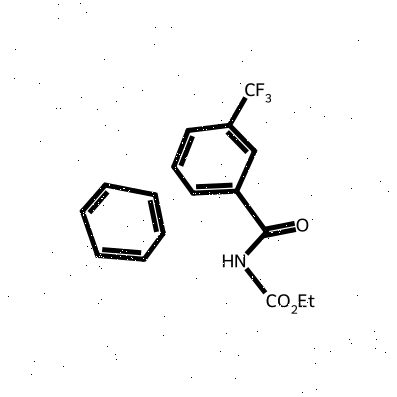 CCOC(=O)NC(=O)c1cccc(C(F)(F)F)c1.c1ccccc1